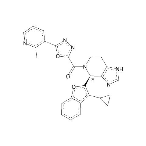 Cc1ncccc1-c1nnc(C(=O)N2CCc3[nH]cnc3[C@H]2c2oc3ccccc3c2C2CC2)o1